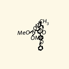 COCCN(CCOC)C(=O)c1cc(-c2ccc(OCc3ccccc3)cc2)c(=O)n2ccc3c(ncn3C)c12